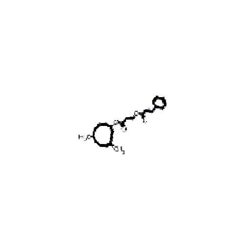 CC1CCCC(C)CCC(OC(=O)CCOC(=O)/C=C/c2ccccc2)CCC1